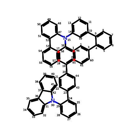 c1ccc(-c2ccccc2-c2cccc(N(c3ccc(-c4ccc(-c5ccccc5-n5c6ccccc6c6ccccc65)cc4)cc3)c3ccccc3-c3ccccc3)c2)cc1